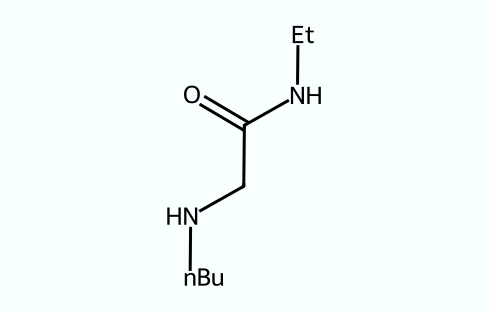 CCCCNCC(=O)NCC